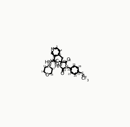 CC1(Cc2ccncc2C(=O)NN2CCOCC2)NC(=O)N(c2ccc(SC(F)(F)F)cc2)C1=O